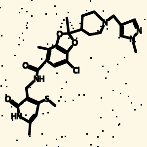 CSc1cc(C)[nH]c(=O)c1CNC(=O)c1cc(Cl)c2c(c1C)OC(C)(C1CCN(Cc3cnn(C)c3)CC1)O2